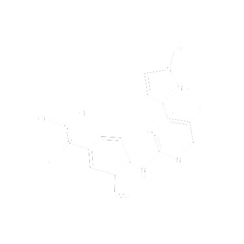 COc1cc(C(=O)N(C)C(C)C)ccc1Nc1ncc(Cl)c(-c2ccn(C(C)C)n2)n1